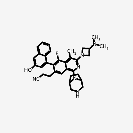 Cc1c(N2CC(N(C)C)C2)nc(N2C3CCC2CNC3)c2cc(CCC#N)c(-c3cc(O)cc4ccccc34)c(F)c12